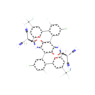 Cc1cc(-c2c(F)cc(F)cc2-c2c3nc(=C(C#N)C#N)oc3c(-c3cc(F)cc(F)c3-c3cc(C)cc(C(F)(F)F)c3)c3nc(=C(C#N)C#N)oc23)cc(C(F)(F)F)c1